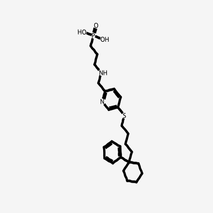 O=P(O)(O)CCCNCc1ccc(SCCCCC2(c3ccccc3)CCCCC2)cn1